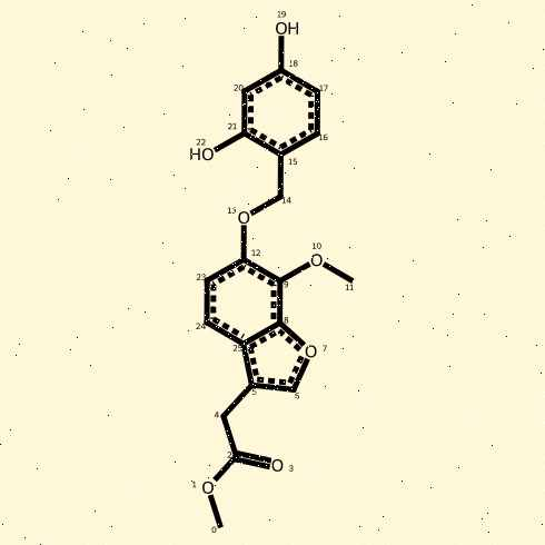 COC(=O)Cc1coc2c(OC)c(OCc3ccc(O)cc3O)ccc12